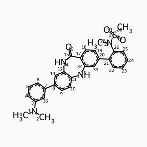 CN(C)c1cccc(-c2ccc3c(c2)NC(=O)c2ccc(-c4ccccc4N(C)S(C)(=O)=O)cc2N3)c1